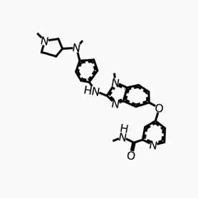 CNC(=O)c1cc(Oc2ccc3c(c2)nc(Nc2ccc(N(C)C4CCN(C)C4)cc2)n3C)ccn1